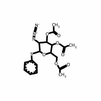 CC(=O)OCC1OC(Sc2ccccc2)C(N=[N+]=[N-])C(OC(C)=O)C1OC(C)=O